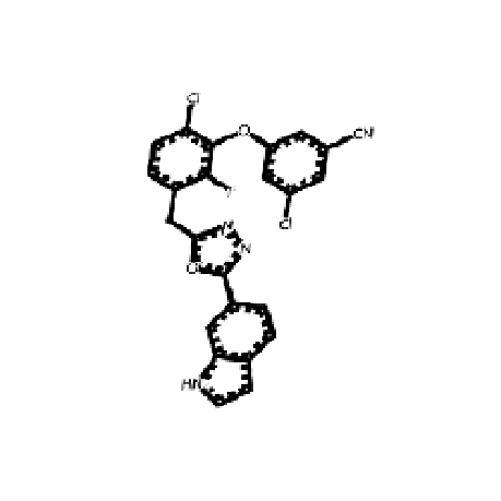 N#Cc1cc(Cl)cc(Oc2c(Cl)ccc(Cc3nnc(-c4ccc5cc[nH]c5c4)o3)c2F)c1